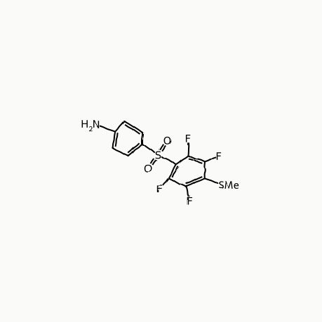 CSc1c(F)c(F)c(S(=O)(=O)c2ccc(N)cc2)c(F)c1F